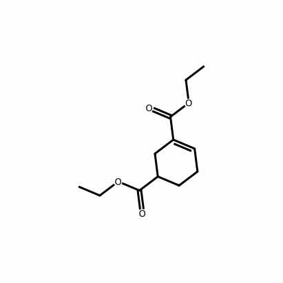 CCOC(=O)C1=CCCC(C(=O)OCC)C1